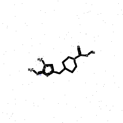 C/N=c1/sc(CC2CCN(C(=O)OC(C)(C)C)CC2)cn1C